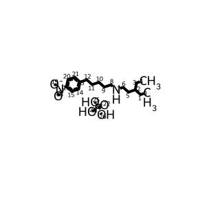 CCC(CC)CCNCCCCCc1ccc([N+](=O)[O-])cc1.O=P(O)(O)O